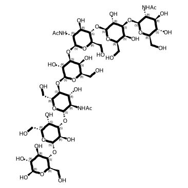 CC(=O)N[C@H]1[C@H](O[C@H]2[C@@H](O)[C@@H](CO)O[C@@H](O[C@H]3[C@H](O)[C@@H](O)[C@H](O)O[C@@H]3CO)[C@@H]2O)O[C@H](CO)[C@@H](O[C@@H]2O[C@H](CO)[C@H](O)[C@H](O[C@@H]3O[C@H](CO)[C@@H](O[C@@H]4O[C@H](CO)[C@H](O)[C@H](O[C@@H]5O[C@H](CO)[C@@H](O)[C@H](O)[C@H]5NC(C)=O)[C@H]4O)[C@H](O)[C@H]3NC(C)=O)[C@H]2O)[C@@H]1O